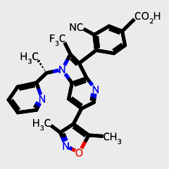 Cc1noc(C)c1-c1cnc2c(-c3ccc(C(=O)O)cc3C#N)c(C(F)(F)F)n([C@@H](C)c3ccccn3)c2c1